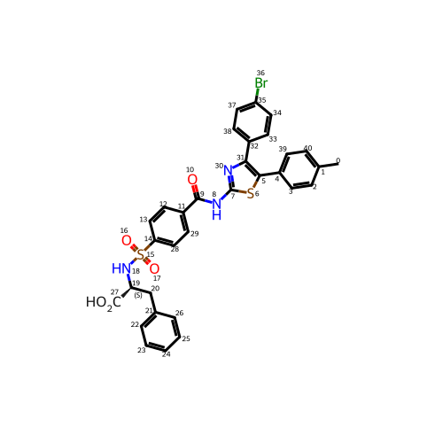 Cc1ccc(-c2sc(NC(=O)c3ccc(S(=O)(=O)N[C@@H](Cc4ccccc4)C(=O)O)cc3)nc2-c2ccc(Br)cc2)cc1